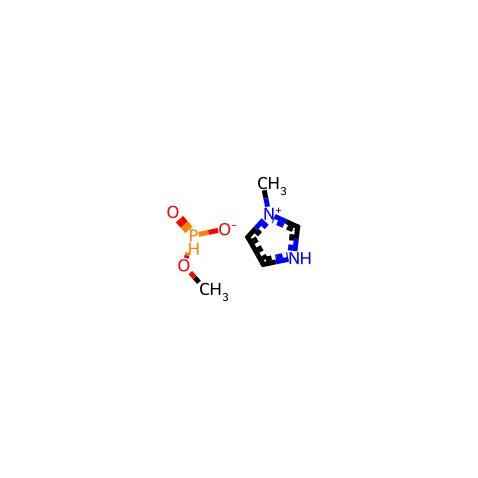 CO[PH](=O)[O-].C[n+]1cc[nH]c1